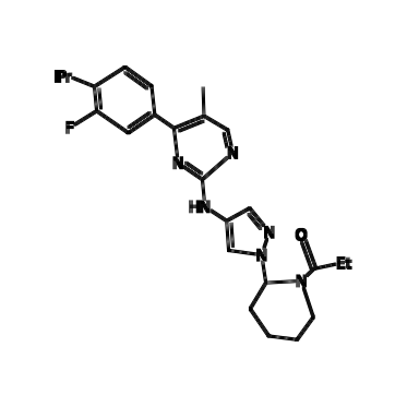 CCC(=O)N1CCCCC1n1cc(Nc2ncc(C)c(-c3ccc(C(C)C)c(F)c3)n2)cn1